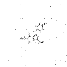 CON(C)C(=O)c1oc(SC)cc1Cc1ccc(F)cc1